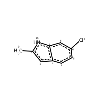 Cc1[c]c2ccc(Cl)cc2[nH]1